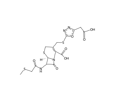 CSCC(=O)NC1C(=O)N2C(C(=O)O)=C(CSc3nnc(CC(=O)O)o3)CS[C@H]12